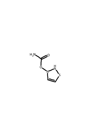 NC(=O)ON1C=CSN1